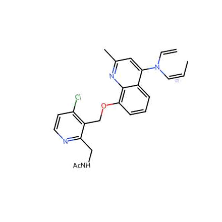 C=CN(/C=C\C)c1cc(C)nc2c(OCc3c(Cl)ccnc3CNC(C)=O)cccc12